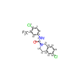 O=C(Nc1ccc(Cl)c(C(F)(F)F)c1)N1CCc2cc(Cl)ccc2C1